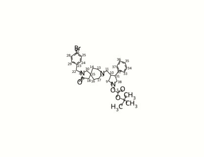 CC(C)(C)OC(=O)ON1CC(CN2CCC3(CC2)CC(=O)N(Cc2ccc(Br)cc2)C3)C(c2ccccc2)C1